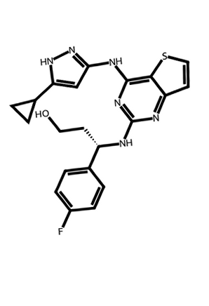 OCC[C@H](Nc1nc(Nc2cc(C3CC3)[nH]n2)c2sccc2n1)c1ccc(F)cc1